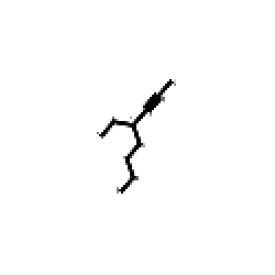 [CH2]C#CC(CC)CCCC